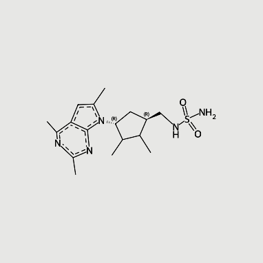 Cc1nc(C)c2cc(C)n([C@@H]3C[C@@H](CNS(N)(=O)=O)C(C)C3C)c2n1